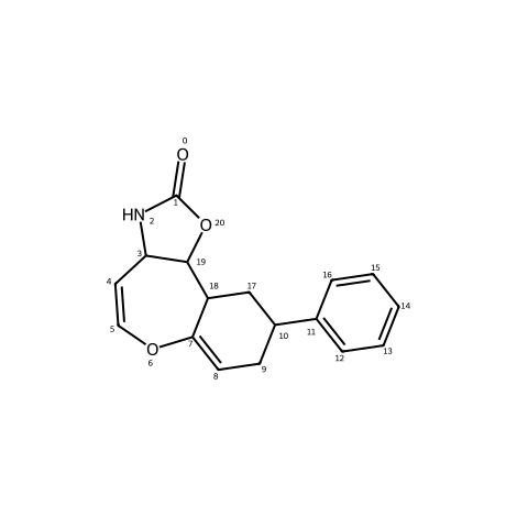 O=C1NC2C=COC3=CCC(c4ccccc4)CC3C2O1